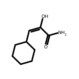 NC(=O)/C(O)=C\C1CCCCC1